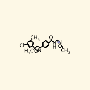 CCO/N=C\NC(=O)c1ccc(C2=NOC(C)(c3cc(C)cc(Cl)c3)C2)cc1